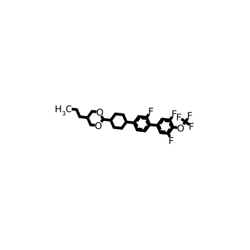 CCCC1COC(C2CCC(c3ccc(-c4cc(F)c(OC(F)(F)F)c(F)c4)c(F)c3)CC2)OC1